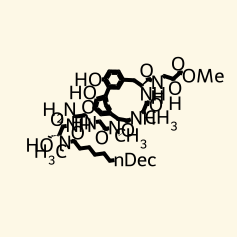 CCCCCCCCCCCCCCCC(=O)N(C)[C@H](CO)C(=O)N[C@H](N)C(=O)NCC(=O)N(C)[C@@H]1C(=O)N[C@@H](C)C(=O)N[C@H](C(=O)NCC(O)C(=O)OC)Cc2ccc(O)c(c2)-c2cc1ccc2O